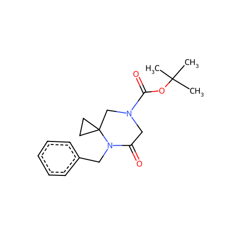 CC(C)(C)OC(=O)N1CC(=O)N(Cc2ccccc2)C2(CC2)C1